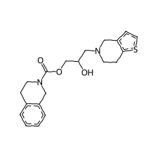 O=C(OCC(O)CN1CCc2sccc2C1)N1CCc2ccccc2C1